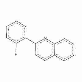 Fc1ccccc1-c1ccc2c[c]ccc2n1